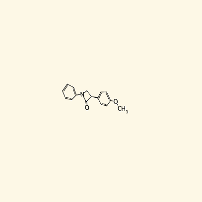 COc1ccc([C@@H]2CN(c3ccccc3)C2=O)cc1